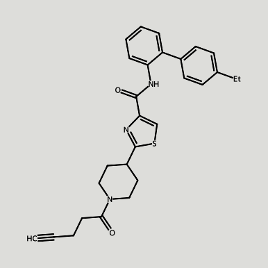 C#CCCC(=O)N1CCC(c2nc(C(=O)Nc3ccccc3-c3ccc(CC)cc3)cs2)CC1